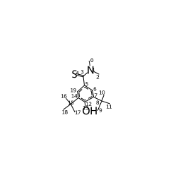 CN(C)C(=S)c1cc(C(C)(C)C)c(O)c(C(C)(C)C)c1